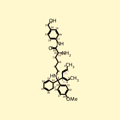 C/C=C/C(=C\C)C(NCCCC[C@H](N)C(=O)Nc1ccc(CO)cc1)(c1ccc(OC)cc1)C1C=CC=CC1